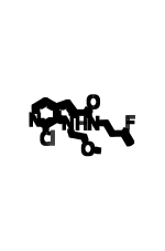 C=C(F)CCNC(=O)c1cc2ccnc(Cl)c2n1CCOC